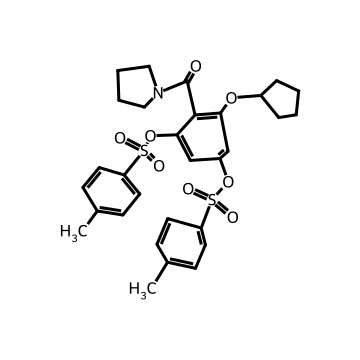 Cc1ccc(S(=O)(=O)Oc2cc(OC3CCCC3)c(C(=O)N3CCCC3)c(OS(=O)(=O)c3ccc(C)cc3)c2)cc1